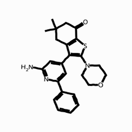 CC1(C)CC(=O)c2sc(N3CCOCC3)c(-c3cc(N)nc(-c4ccccc4)c3)c2C1